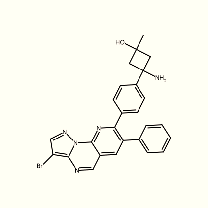 CC1(O)CC(N)(c2ccc(-c3nc4c(cnc5c(Br)cnn54)cc3-c3ccccc3)cc2)C1